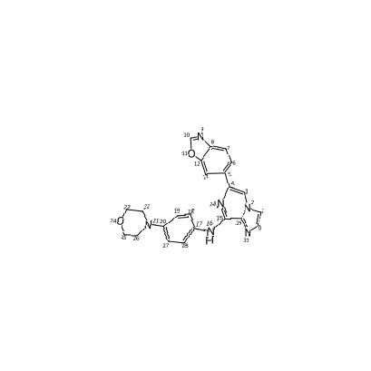 c1cn2cc(-c3ccc4ncoc4c3)nc(Nc3ccc(N4CCOCC4)cc3)c2n1